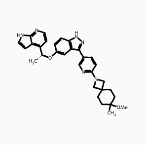 COC1(C)CCC2(CC1)CN(c1ccc(-c3n[nH]c4ccc(O[C@H](C)c5ccnc6[nH]ccc56)cc34)cn1)C2